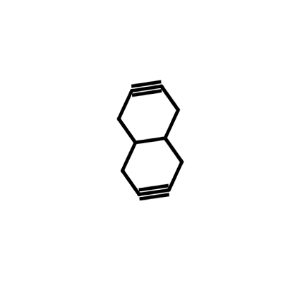 C1#CCC2CC#CCC2C1